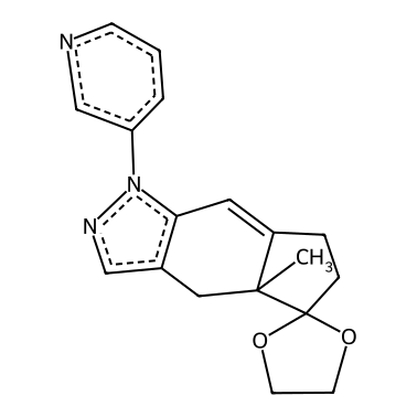 CC12Cc3cnn(-c4cccnc4)c3C=C1CCC21OCCO1